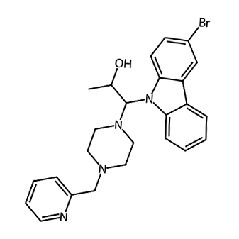 CC(O)C(N1CCN(Cc2ccccn2)CC1)n1c2ccccc2c2cc(Br)ccc21